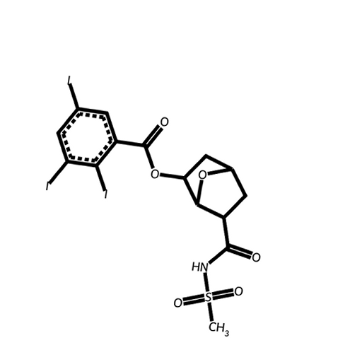 CS(=O)(=O)NC(=O)C1CC2CC(OC(=O)c3cc(I)cc(I)c3I)C1O2